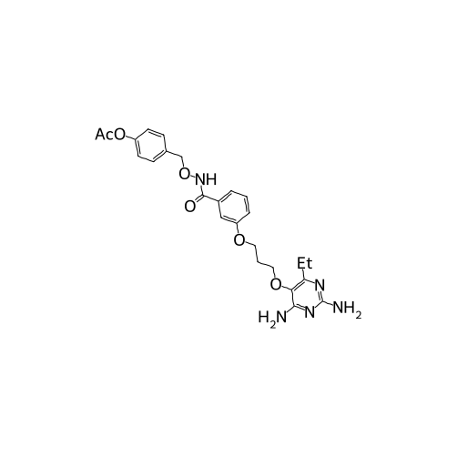 CCc1nc(N)nc(N)c1OCCCOc1cccc(C(=O)NOCc2ccc(OC(C)=O)cc2)c1